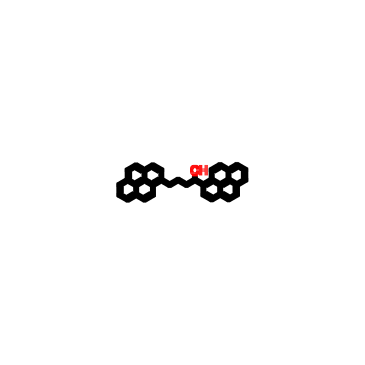 OC(CCCc1ccc2ccc3cccc4ccc1c2c34)c1ccc2ccc3cccc4ccc1c2c34